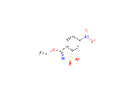 CCOC1=NS(=O)(=O)c2cc([N+](=O)[O-])ccc21